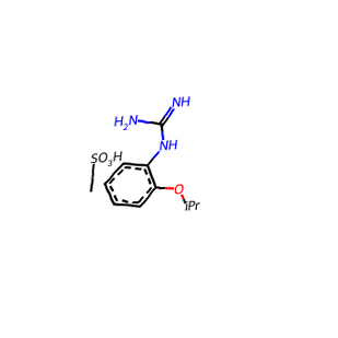 CC(C)Oc1ccccc1NC(=N)N.CS(=O)(=O)O